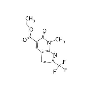 CCOC(=O)c1cc2ccc(C(F)(F)F)nc2n(C)c1=O